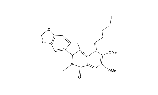 COc1cc2c(c(=CCCCI)c1OC)=C1Cc3cc4c(cc3C1N(C)C2=O)OCO4